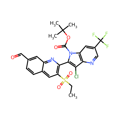 CCS(=O)(=O)c1cc2ccc(C=O)cc2nc1-c1c(Cl)c2ncc(C(F)(F)F)cc2n1C(=O)OC(C)(C)C